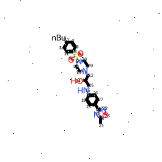 CCCCc1ccc(S(=O)(=O)N2CCN(CC(O)CNc3ccc(-c4noc(C)n4)cc3)CC2)cc1